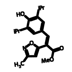 COC(=O)C(=Cc1cc(C(C)C)c(O)c(C(C)C)c1)c1cc(C)no1